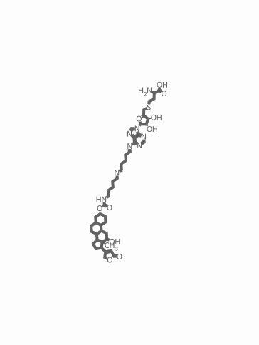 CC12C(O)CC3C4CC[C@@H](OC(=O)NCCCCC/N=C/CCC/C=N/c5ncnc6c5ncn6C5OC(CSCCC(N)C(=O)O)[C@@H](O)[C@H]5O)CC4CCC3C1CCC2C1=CC(=O)OC1